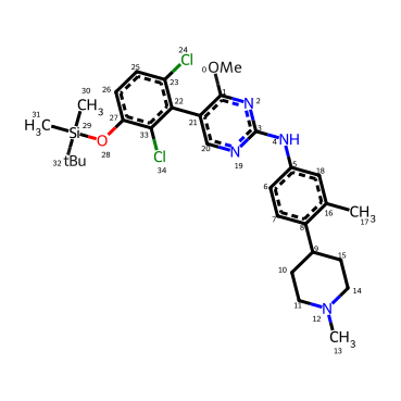 COc1nc(Nc2ccc(C3CCN(C)CC3)c(C)c2)ncc1-c1c(Cl)ccc(O[Si](C)(C)C(C)(C)C)c1Cl